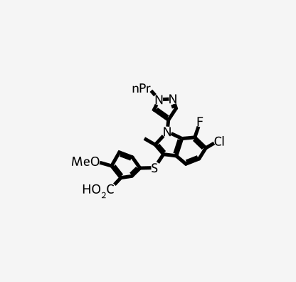 CCCn1cc(-n2c(C)c(Sc3ccc(OC)c(C(=O)O)c3)c3ccc(Cl)c(F)c32)cn1